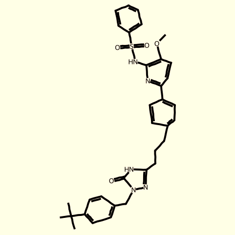 COc1ccc(-c2ccc(CCCc3nn(Cc4ccc(C(C)(C)C)cc4)c(=O)[nH]3)cc2)nc1NS(=O)(=O)c1ccccc1